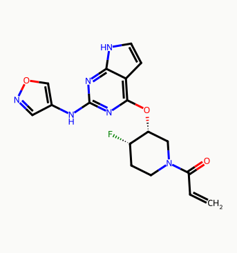 C=CC(=O)N1CC[C@H](F)[C@H](Oc2nc(Nc3cnoc3)nc3[nH]ccc23)C1